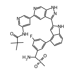 CC(C)(C)C(=O)Nc1cncc(-c2cc3c(-c4cc5c(-c6cc(F)cc(C(N)S(C)(=O)=O)c6)cccc5[nH]4)n[nH]c3cn2)c1